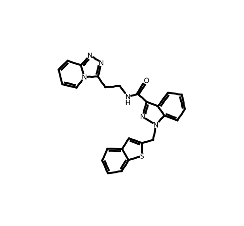 O=C(NCCc1nnc2ccccn12)c1nn(Cc2cc3ccccc3s2)c2ccccc12